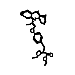 CCOC(=O)C(Cc1ccc(OCC(C)N2c3ccccc3CCc3ccccc32)cc1)OCC